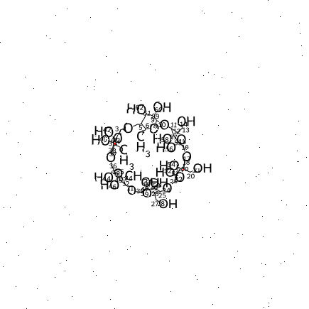 CC1OC2OC3C(C)OC(OC4C(CO)OC(OC5C(CO)OC(OC6C(CO)OC(OC7C(C)OC(OC1C(O)C2O)C(O)C7O)C(O)C6O)C(O)C5O)C(O)C4O)C(O)C3O